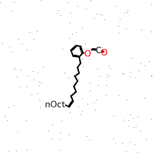 CCCCCCCC/C=C\CCCCCCCCc1ccccc1OC=C=O